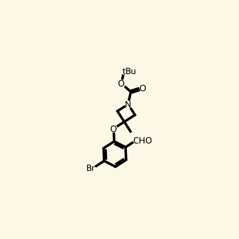 CC(C)(C)OC(=O)N1CC(C)(Oc2cc(Br)ccc2C=O)C1